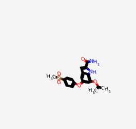 CC(C)Oc1cc(Oc2ccc(S(C)(=O)=O)cc2)cc2cc(C(N)=O)[nH]c12